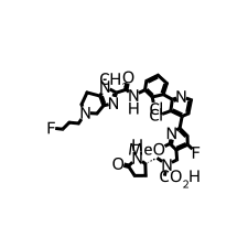 COc1nc(-c2ccnc(-c3cccc(NC(=O)c4nc5c(n4C)CCN(CCCF)C5)c3Cl)c2Cl)cc(F)c1CN(C[C@@H]1CCC(=O)N1)C(=O)O